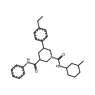 CCc1ccc(C2CC(C(=O)Nc3ccccc3)CN(C(=O)NC3CCCC(C)C3)C2)cc1